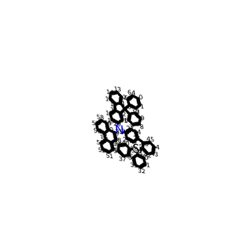 c1ccc(C2(c3ccccc3)c3ccccc3-c3ccc(N(c4ccc5c(c4)[Si](c4ccccc4)(c4ccccc4)c4ccccc4-5)c4cc5ccccc5c5ccccc45)cc32)cc1